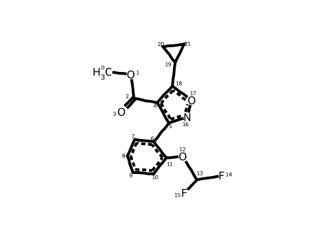 COC(=O)c1c(-c2ccccc2OC(F)F)noc1C1CC1